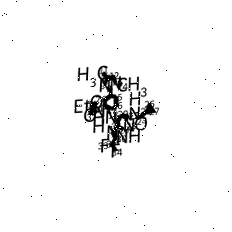 CCS(=O)(=O)Nc1cc(-c2nc(C)cn2C)ccc1Nc1cc(NC(=O)C2CC2)nc2[nH]c(C(F)F)nc12